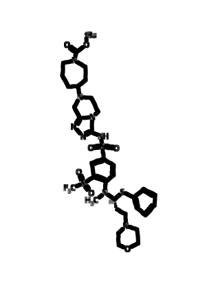 CN(c1ccc(S(=O)(=O)Nc2nnc3n2CCN(C2CCCN(C(=O)OC(C)(C)C)CC2)C3)cc1S(=O)(=O)C(F)(F)F)[C@@H](CCN1CCOCC1)Sc1ccccc1